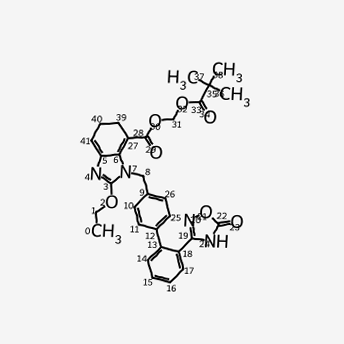 CCOc1nc2c(n1Cc1ccc(-c3ccccc3-c3noc(=O)[nH]3)cc1)=C(C(=O)OCOC(=O)C(C)(C)C)CCC=2